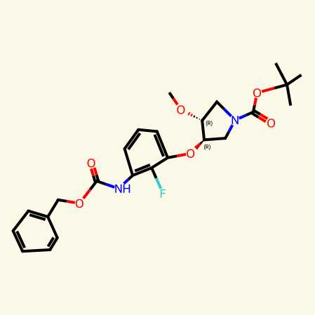 CO[C@@H]1CN(C(=O)OC(C)(C)C)C[C@H]1Oc1cccc(NC(=O)OCc2ccccc2)c1F